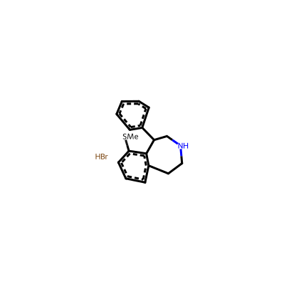 Br.CSc1cccc2c1C(c1ccccc1)CNCC2